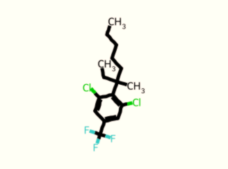 CCCCCC(C)(CC)c1c(Cl)cc(C(F)(F)F)cc1Cl